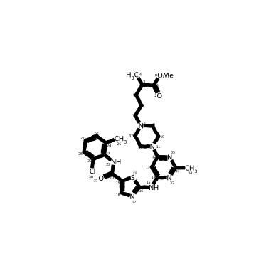 COC(=O)C(C)CCCN1CCN(c2cc(Nc3ncc(C(=O)Nc4c(C)cccc4Cl)s3)nc(C)n2)CC1